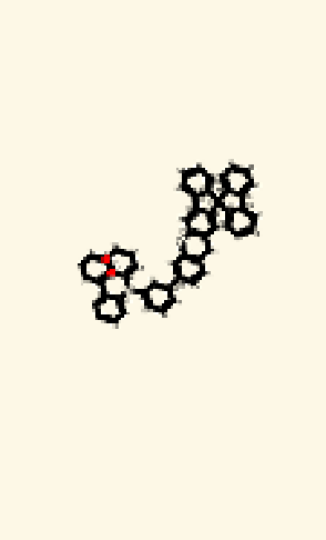 C1=CCCC(c2ccccc2N(c2ccccc2)c2cccc(-c3ccc4c(c3)Oc3cc5c(cc3C4)C3(c4ccccc4-c4ccccc43)c3ccccc3-5)c2)=C1